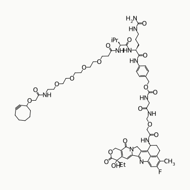 CC[C@@]1(O)C(=O)OCc2c1cc1n(c2=O)Cc2c-1nc1cc(F)c(C)c3c1c2[C@@H](NC(=O)COCNC(=O)CNC(=O)OCc1ccc(NC(=O)[C@H](CCCNC(N)=O)NC(=O)[C@@H](NC(=O)CCOCCOCCOCCOCCNC(=O)COC2C#CCCCCC2)C(C)C)cc1)CC3